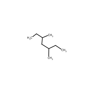 CCC(C)[CH]C(C)CC